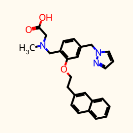 CN(CC(=O)O)Cc1ccc(Cn2cccn2)cc1OCCc1ccc2ccccc2c1